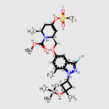 C[C@H]1CC(OS(=O)(=O)C(F)(F)F)=C[C@@H](COc2cc(C(F)(F)F)c3c(c2)c(F)nn3C2CC(C)(O[Si](C)(C)C(C)(C)C)C2)N1C(=O)OC(C)(C)C